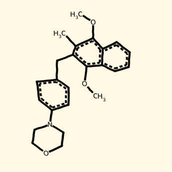 COc1c(C)c(Cc2ccc(N3CCOCC3)cc2)c(OC)c2ccccc12